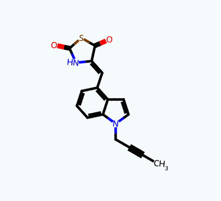 CC#CCn1ccc2c(C=C3NC(=O)SC3=O)cccc21